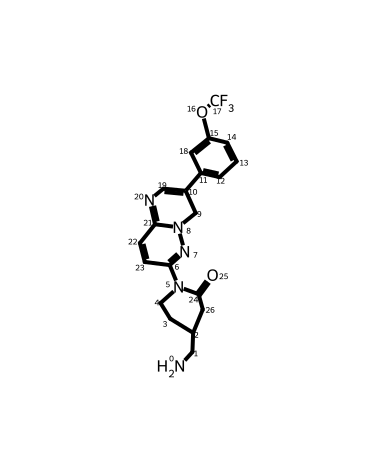 NCC1CCN(C2=NN3CC(c4cccc(OC(F)(F)F)c4)=CN=C3C=C2)C(=O)C1